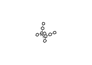 c1ccc(-c2ccc(-c3cc(-c4ccccc4)nc4c3ccc3c(-c5ccc(-c6ccccc6)cc5)cc(-c5ccccc5)nc34)cc2)cc1